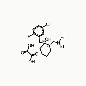 CCN(CC)C[C@H]1CCCC[C@]1(O)Cc1cc(Cl)ccc1F.O=C(O)C(=O)O